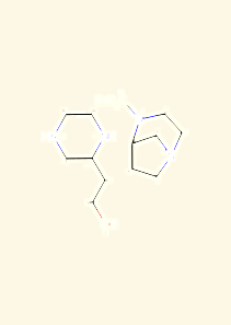 CCOC(=O)N1CCN2CCC1C2.OCCC1CNCCN1